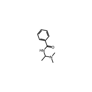 CC(NC(=O)c1cc[c]cc1)N(C)C